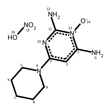 Nc1cc(N2CCCCC2)nc(N)[n+]1[O-].O=[N+]([O-])O